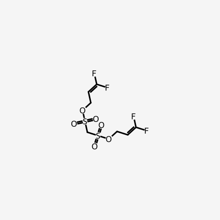 O=S(=O)(CS(=O)(=O)OCC=C(F)F)OCC=C(F)F